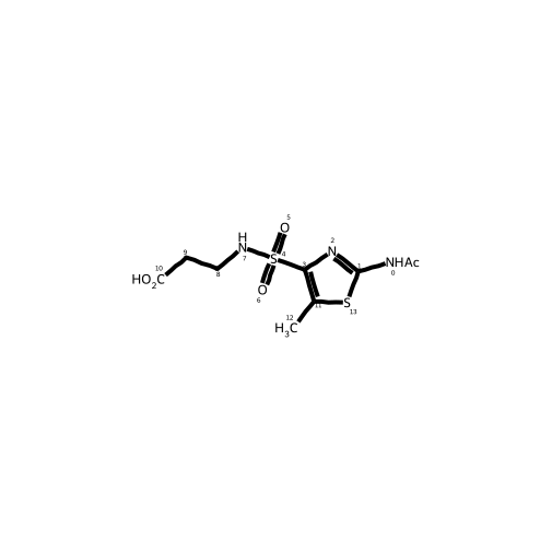 CC(=O)Nc1nc(S(=O)(=O)NCCC(=O)O)c(C)s1